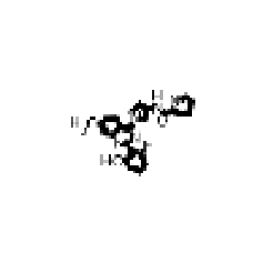 Cc1ccc2c(N3CCC(NC(=O)c4ccccn4)C3)nc(-c3c(O)cccc3F)nc2c1